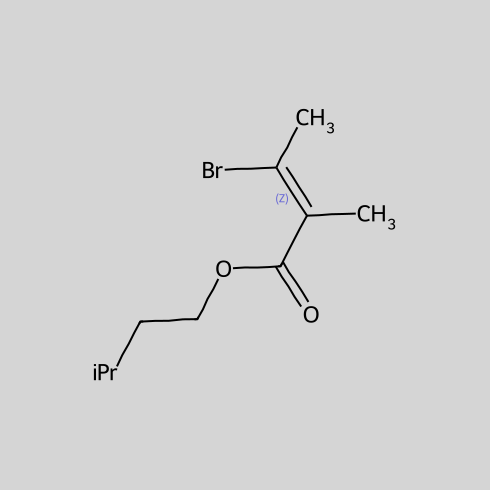 C/C(Br)=C(\C)C(=O)OCCC(C)C